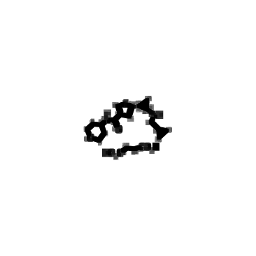 O=C(NC1CCOCC1)c1csc([C@@H]2C[C@H]2NCC2CC2)c1.O=C(O)CCC(=O)O